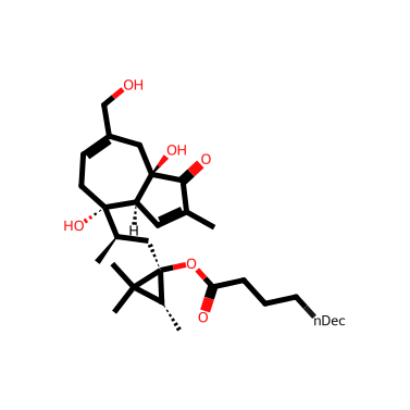 CCCCCCCCCCCCCC(=O)O[C@@]1(C[C@@H](C)[C@@]2(O)CC=C(CO)C[C@]3(O)C(=O)C(C)=C[C@@H]23)[C@H](C)C1(C)C